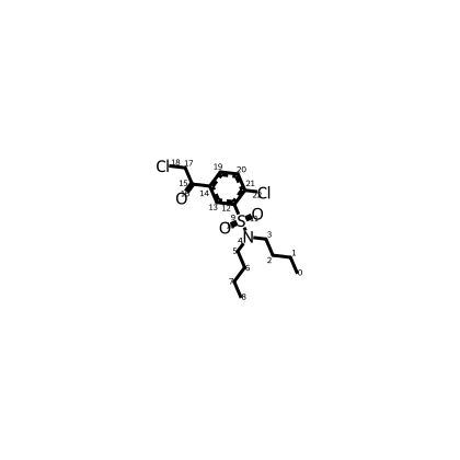 CCCCN(CCCC)S(=O)(=O)c1cc(C(=O)CCl)ccc1Cl